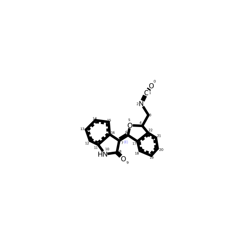 O=C=NCC1O/C(=C2/C(=O)Nc3ccccc32)c2ccccc21